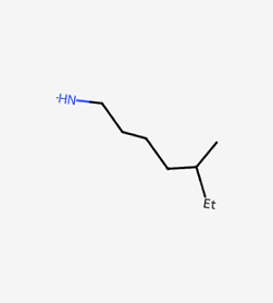 CCC(C)CCCC[NH]